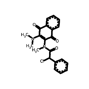 CN(C)C1=C(N(C)C(=O)C(Cl)c2ccccc2)C(=O)c2ccccc2C1=O